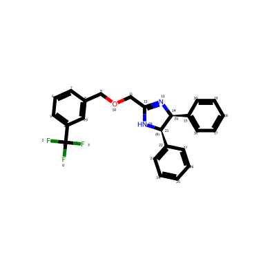 FC(F)(F)c1cccc(COCC2=N[C@@H](c3ccccc3)[C@@H](c3ccccc3)N2)c1